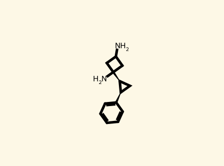 NC1CC(N)([C@H]2C[C@H]2c2ccccc2)C1